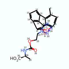 Cc1ccc2oc3c(Br)c2c1-c1cccc-3c1-c1nnnn1CCOC(=O)N[C@@H](C)C(=O)O